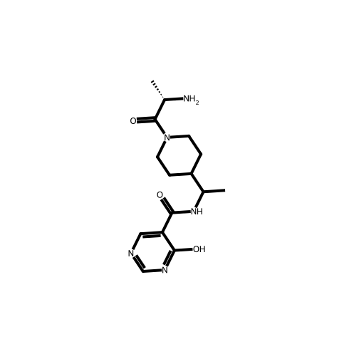 CC(NC(=O)c1cncnc1O)C1CCN(C(=O)[C@H](C)N)CC1